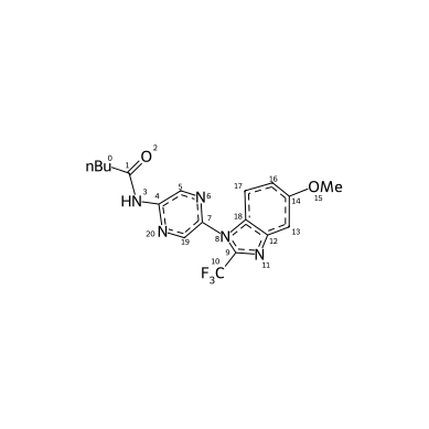 CCCCC(=O)Nc1cnc(-n2c(C(F)(F)F)nc3cc(OC)ccc32)cn1